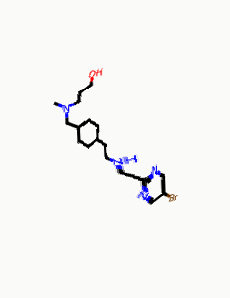 CN(CCCO)CC1CCC(CCNCc2ncc(Br)cn2)CC1